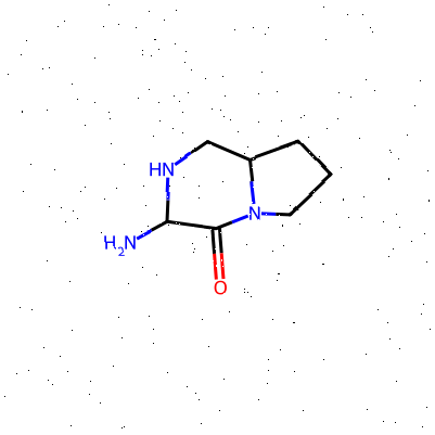 NC1NCC2CCCN2C1=O